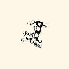 CC(C)(C)OC(=O)N[C@@H](C[C@H](Cc1cc(C(F)(F)F)ccc1F)C(=O)OC(C)(C)C)C(=O)OC(C)(C)C